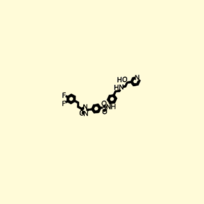 O=S(=O)(Nc1ccc(CCNCC(O)c2cccnc2)cc1)c1ccc(-c2noc(CCc3ccc(F)c(F)c3)n2)cc1